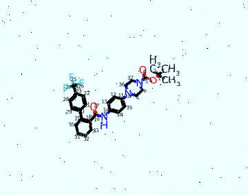 CC(C)(C)OC(=O)N1CCN(c2ccc(NC(=O)C3=C(c4ccc(C(F)(F)F)cc4)CCCC3)cc2)CC1